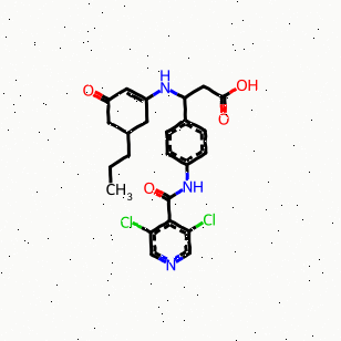 CCCC1CC(=O)C=C(NC(CC(=O)O)c2ccc(NC(=O)c3c(Cl)cncc3Cl)cc2)C1